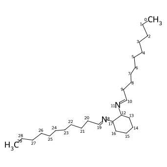 CCCCCCCCCCC=NC1CCCCC1N=CCCCCCCCCCC